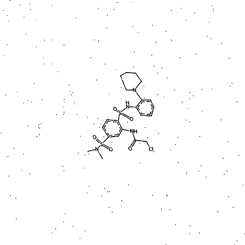 CN(C)S(=O)(=O)c1ccc(S(=O)(=O)Nc2ccccc2N2CCCCC2)c(NC(=O)CCl)c1